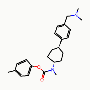 Cc1ccc(OC(=O)N(C)[C@H]2CC[C@H](c3ccc(CN(C)C)cc3)CC2)cc1